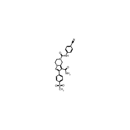 CS(=O)(=O)c1ccc(-c2nn3c(c2C(N)=O)CN(C(=O)Nc2ccc(C#N)cc2)CC3)cc1